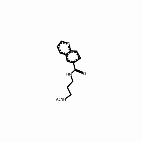 CC(=O)NCCCNC(=O)c1ccc2ncccc2c1